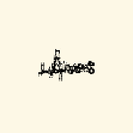 CC(C)(C)[Si](O[C@@H]1CC[C@@]2(C)C(CCC3C2CC[C@]2(C)C(CCC(=O)N[C@H]4C[C@@H](C(=O)NCCc5cnc[nH]5)N(C(=O)C(N)Cc5c[nH]cn5)C4)CCC32)C1)(c1ccccc1)c1ccccc1